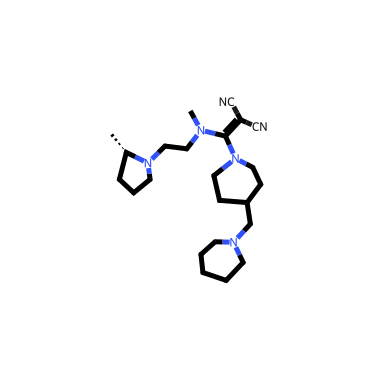 C[C@H]1CCCN1CCN(C)C(=C(C#N)C#N)N1CCC(CN2CCCCC2)CC1